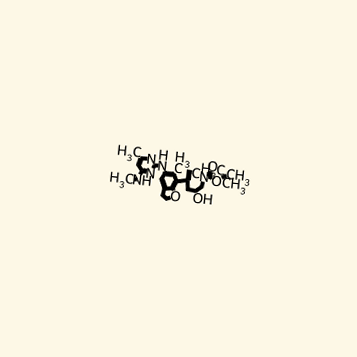 CNc1cc(C)nc(Nc2cc3c(c(C4=CCN(C(=O)OC(C)(C)C)CC(O)C4)c2C)OCC3)n1